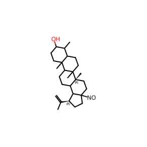 C=C(C)[C@@H]1CCC2(N=O)CC[C@]3(C)C(CCC4C5(C)CCC(O)C(C)C5CCC43C)C12